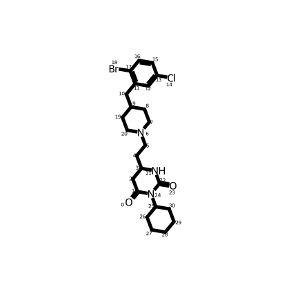 O=C1CC(CCN2CCC(Cc3cc(Cl)ccc3Br)CC2)NC(=O)N1C1CCCCC1